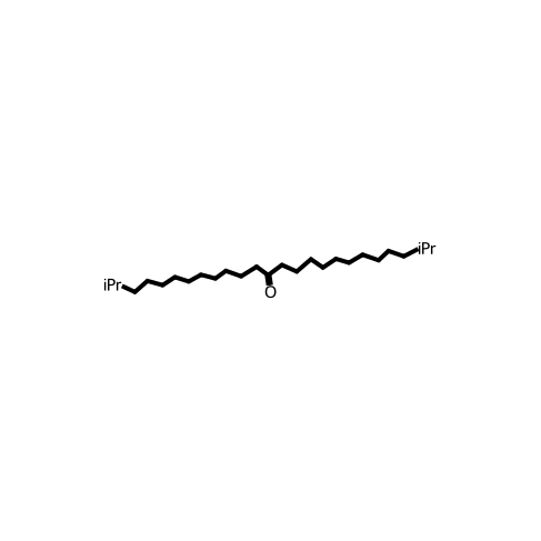 CC(C)CCCCCCCCCCC(=O)CCCCCCCCCCC(C)C